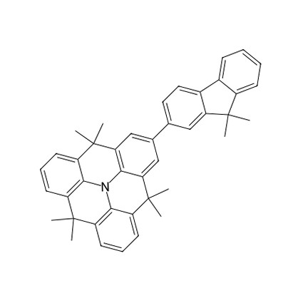 CC1(C)c2ccccc2-c2ccc(-c3cc4c5c(c3)C(C)(C)c3cccc6c3N5c3c(cccc3C4(C)C)C6(C)C)cc21